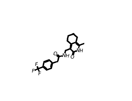 Cc1[nH]c(=O)c(CNC(=O)Cc2ccc(C(F)(F)F)cc2)c2c1CCCC2